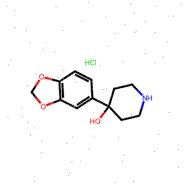 Cl.OC1(c2ccc3c(c2)OCO3)CCNCC1